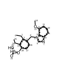 CCc1c(Cn2cnc3cccc(OC)c32)ccc(O[PH](=O)O)c1CC